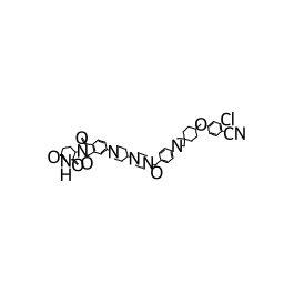 N#Cc1ccc(OC2CCC3(CC2)CN(c2ccc(C(=O)N4CCN(C5CCN(c6ccc7c(c6)C(=O)N(C6CCC(=O)NC6=O)C7=O)CC5)CC4)cc2)C3)cc1Cl